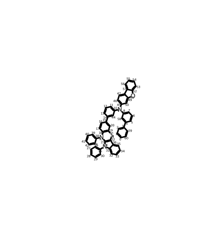 c1ccc(-c2cccc(N(c3cccc(-c4ccc5c(c4)Sc4c(n(-c6ccccc6)c6ccccc46)N5c4ccccc4)c3)c3ccc4c(c3)oc3ccccc34)c2)cc1